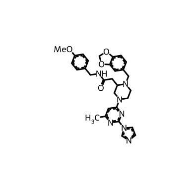 COc1ccc(CNC(=O)CC2CN(c3cc(C)nc(-n4ccnc4)n3)CCN2Cc2ccc3c(c2)OCO3)cc1